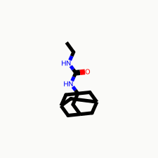 CCNC(=O)NC12CC3CC(CC(C3)C1)C2